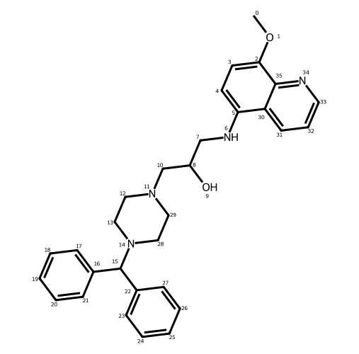 COc1ccc(NCC(O)CN2CCN(C(c3ccccc3)c3ccccc3)CC2)c2cccnc12